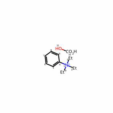 CC[N+](CC)(CC)c1ccccc1.O=C(O)O